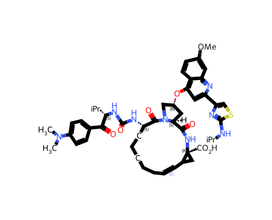 COc1ccc2c(O[C@@H]3C[C@H]4C(=O)N[C@]5(C(=O)O)CC5/C=C\CCCCC[C@H](NC(=O)N[C@H](C(=O)c5ccc(N(C)C)cc5)C(C)C)C(=O)N4C3)cc(-c3csc(NC(C)C)n3)nc2c1